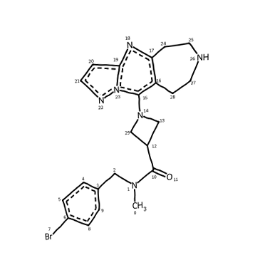 CN(Cc1ccc(Br)cc1)C(=O)C1CN(c2c3c(nc4ccnn24)CCNCC3)C1